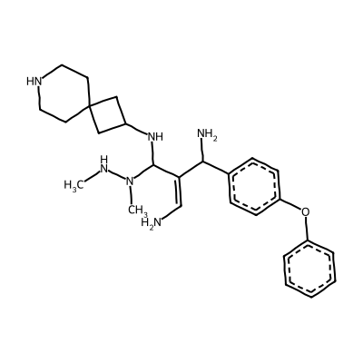 CNN(C)C(NC1CC2(CCNCC2)C1)/C(=C\N)C(N)c1ccc(Oc2ccccc2)cc1